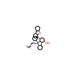 C/C=C\C=C/CC1(c2c#cccc2)c2ccccc2-c2c(O)ccc(-c3cccc4c3oc3ccccc34)c21